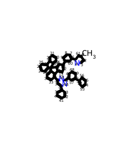 Cc1ccnc(-c2cccc(-c3ccc4c(c3)C3(c5ccccc5-c5ccccc53)c3cccc(-c5cc(-c6ccccc6)nc(-c6cccc(-c7ccccc7)c6)n5)c3-4)c2)c1